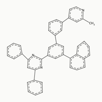 Cc1cc(-c2cccc(-c3cc(-c4nc(-c5ccccc5)cc(-c5ccccc5)n4)cc(-c4cccc5ccccc45)c3)c2)ccn1